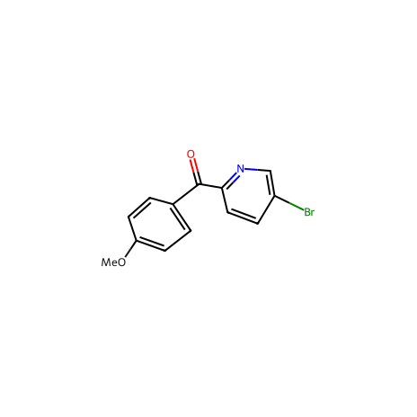 COc1ccc(C(=O)c2ccc(Br)cn2)cc1